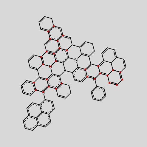 C1=CCCC(C2=CC(C3C=CC=C(C4=CC(C5=CCCC=C5)=CCC4)C3N3c4cc(N(c5ccccc5)c5ccc6ccc7cccc8ccc5c6c78)ccc4B4c5ccc(N(C6=C7C=CC=C8C=CC9=CC=CC(=C6)C9C87)c6ccccc6)cc5N(C5=C(C6=CC=CC(C7C=CC=CC7)C6)CCC=C5C5C=CC=C(C6=CC=CCC6)C5)c5cc(-c6ccccc6)cc3c54)=CCC2)=C1